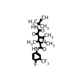 C#CC(C)(C)NC(=O)C(=O)c1c(C)c(C(=O)Nc2ccc(F)c(C(F)(F)F)c2)n(C)c1C